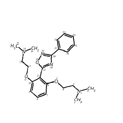 CN(C)CCOc1cccc(OCCN(C)C)c1-c1nc(-c2ccccc2)no1